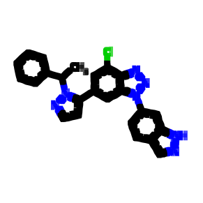 CC(c1ccccc1)n1nccc1-c1cc(Cl)c2nnn(-c3ccc4cn[nH]c4c3)c2c1